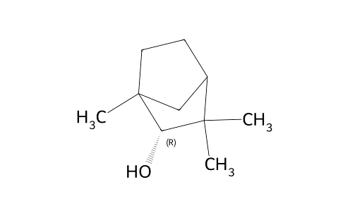 CC12CCC(C1)C(C)(C)[C@@H]2O